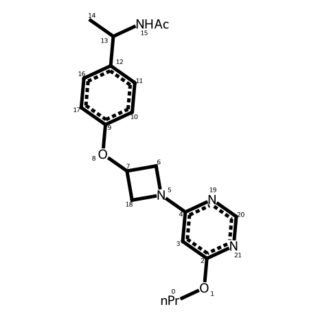 CCCOc1cc(N2CC(Oc3ccc(C(C)NC(C)=O)cc3)C2)ncn1